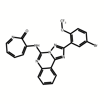 O=c1nccccc1Nc1nc2ccccc2c2nc(-c3cc(Br)ccc3OC(F)(F)F)nn12